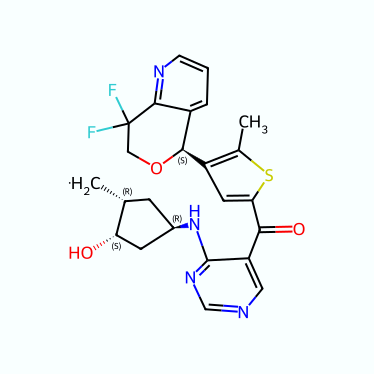 [CH2][C@@H]1C[C@@H](Nc2ncncc2C(=O)c2cc([C@H]3OCC(F)(F)c4ncccc43)c(C)s2)C[C@@H]1O